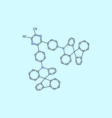 N#Cc1nc(-c2ccc(N3c4ccccc4C4(c5ccccc5-c5ccccc54)c4ccccc43)cc2)c(-c2ccc(N3c4ccccc4C4(c5ccccc5-c5ccccc54)c4ccccc43)cc2)nc1C#N